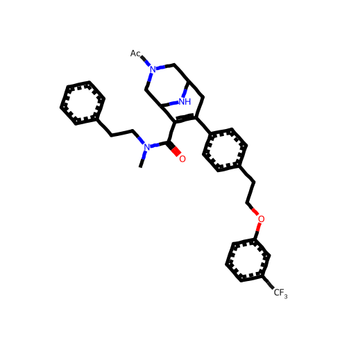 CC(=O)N1CC2CC(c3ccc(CCOc4cccc(C(F)(F)F)c4)cc3)=C(C(=O)N(C)CCc3ccccc3)C(C1)N2